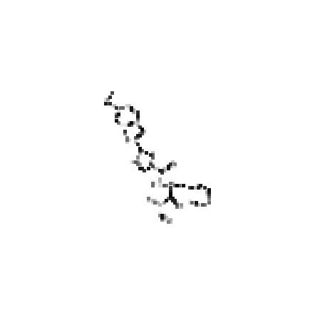 COc1ccc2nc(-n3nc(C(=O)N[C@@H](Cc4ccccc4)C(=O)C(N)=O)cc3C)sc2c1